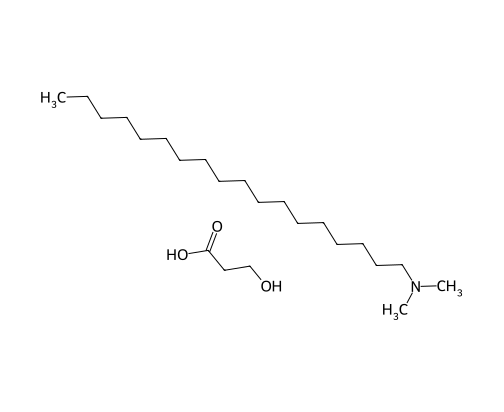 CCCCCCCCCCCCCCCCCCN(C)C.O=C(O)CCO